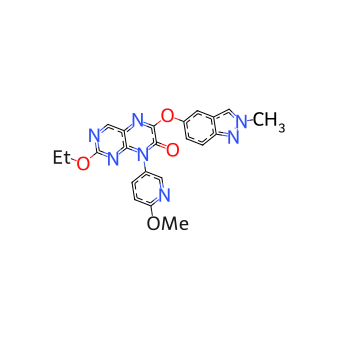 CCOc1ncc2nc(Oc3ccc4nn(C)cc4c3)c(=O)n(-c3ccc(OC)nc3)c2n1